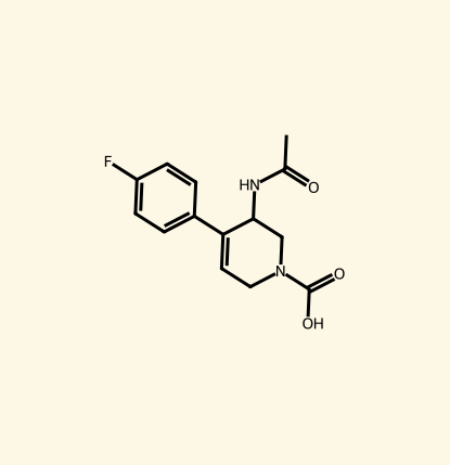 CC(=O)NC1CN(C(=O)O)CC=C1c1ccc(F)cc1